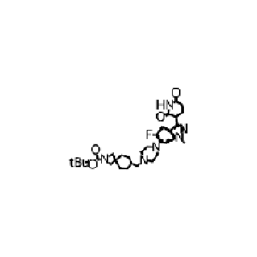 Cn1nc(C2CCC(=O)NC2=O)c2cc(F)c(N3CCN(CC4CCC5(CC4)CN(C(=O)OC(C)(C)C)C5)CC3)cc21